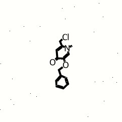 Cn1cc(OCc2ccccc2)c(=O)cc1CCl